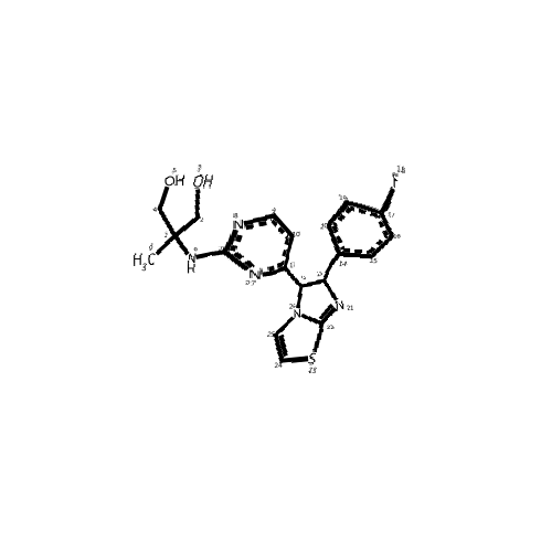 CC(CO)(CO)Nc1nccc(C2C(c3ccc(F)cc3)N=C3SC=CN32)n1